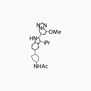 COc1cc(-c2[nH]c3ccc(C4CCC(NC(C)=O)CC4)cc3c2C(C)C)cn2ncnc12